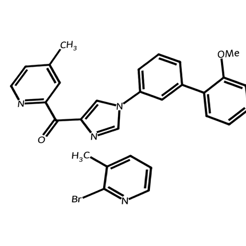 COc1ccccc1-c1cccc(-n2cnc(C(=O)c3cc(C)ccn3)c2)c1.Cc1cccnc1Br